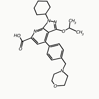 CC(C)Oc1nn(C2CCCCC2)c2nc(C(=O)O)cc(-c3ccc(CN4CCOCC4)cc3)c12